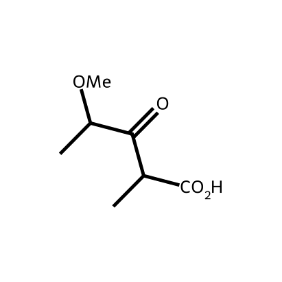 COC(C)C(=O)C(C)C(=O)O